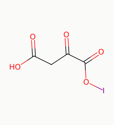 O=C(O)CC(=O)C(=O)OI